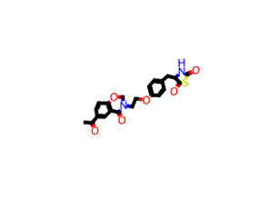 CC(=O)c1ccc2c(c1)C(=O)N(CCOc1ccc(CC3NC(=O)SC3=O)cc1)CO2